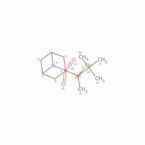 CC(S)N1CC2CC(C1)N2S(=O)(=O)CC(C)(C)C